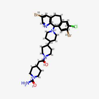 NC(=O)N1CCC(CC(=O)N2CCC(C3CCN(C4c5cc(Br)c(Cl)cc5CCc5cc(Br)cnc54)CC3)CC2)CC1